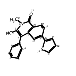 Cn1c(C#N)c(-c2ccccc2)c2cc(-c3cccs3)ccc2c1=O